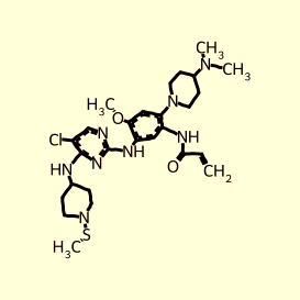 C=CC(=O)Nc1cc(Nc2ncc(Cl)c(NC3CCN(SC)CC3)n2)c(OC)cc1N1CCC(N(C)C)CC1